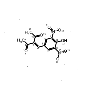 CC(=O)C(=Cc1cc([N+](=O)[O-])c(O)c([N+](=O)[O-])c1)C(C)=O